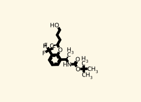 C[C@@H](CCCO)Oc1c([C@@H](C)NC(=O)OC(C)(C)C)cccc1C(F)(F)F